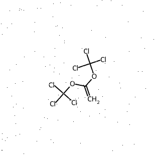 C=C(OC(Cl)(Cl)Cl)OC(Cl)(Cl)Cl